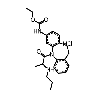 CCCNC(C)C(=O)N1c2ccccc2CCc2ccc(NC(=O)OCC)cc21.Cl